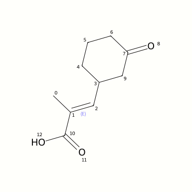 C/C(=C\C1CCCC(=O)C1)C(=O)O